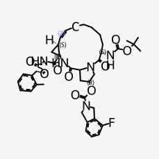 Cc1ccccc1S(=O)(=O)NC(=O)[C@@]12C[C@H]1/C=C\CCCCC[C@H](NC(=O)OC(C)(C)C)C(=O)N1C[C@H](OC(=O)N3Cc4cccc(F)c4C3)CC1C(=O)N2